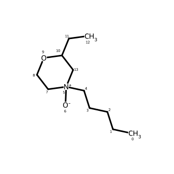 CCCCC[N+]1([O-])CCOC(CC)C1